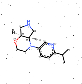 CC(C)c1ccc(N2CCO[C@H]3CNC[C@H]32)cn1